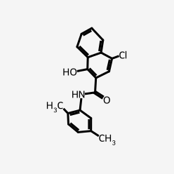 Cc1ccc(C)c(NC(=O)c2cc(Cl)c3ccccc3c2O)c1